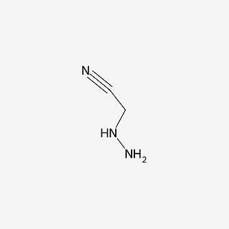 N#CCNN